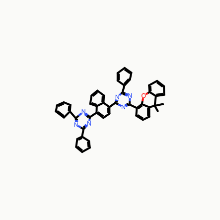 CC1(C)c2ccccc2Oc2c(-c3nc(-c4ccccc4)nc(-c4ccc(-c5nc(-c6ccccc6)nc(-c6ccccc6)n5)c5ccccc45)n3)cccc21